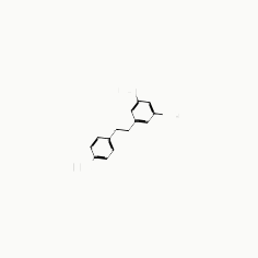 CC(C)(C)c1cc(C[CH]c2ccc(O)cc2)cc(C(C)(C)C)c1